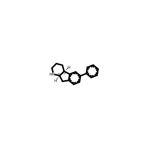 c1ccc(-c2ccc3c(c2)[C@@H]2CCCN[C@@H]2C3)cc1